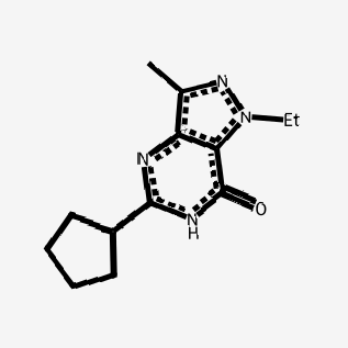 CCn1nc(C)c2nc(C3CCCC3)[nH]c(=O)c21